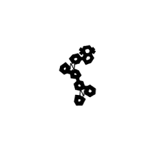 CC1(C)CCC(C)(C)C2CC=CC(c3cccc(-n4c5ccccc5c5cc(-c6ccc7c(c6)c6ccccc6n7-c6ccccc6)ccc54)c3)=C21